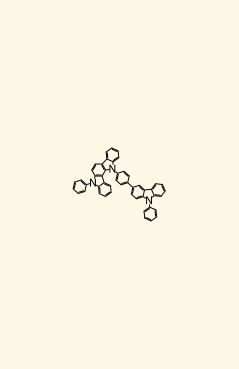 c1ccc(-n2c3ccccc3c3cc(-c4ccc(-n5c6ccccc6c6ccc7c(c8ccccc8n7-c7ccccc7)c65)cc4)ccc32)cc1